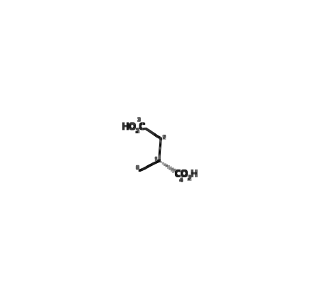 C[C@H](CC(=O)O)C(=O)O